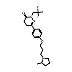 CC1CCCN1CCCOc1ccc(C2=NN(CC(F)(F)F)C(=O)CC2)cc1